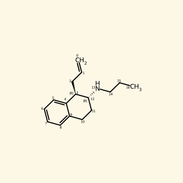 C=CC[C@@H]1c2ccccc2CC[C@H]1NCCC